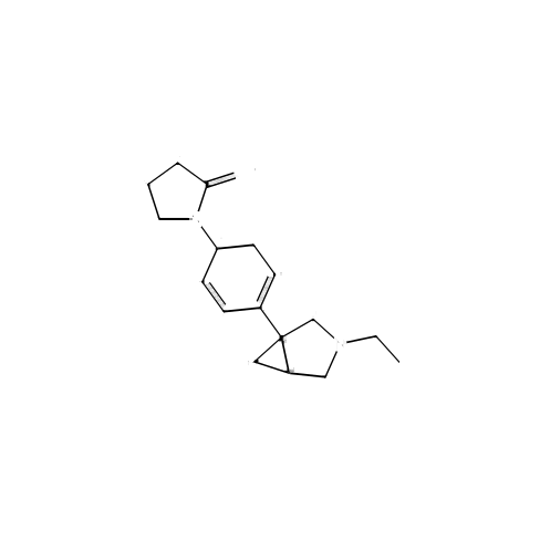 CCN1CC2CC2(C2=CCC(N3CCCC3=O)C=C2)C1